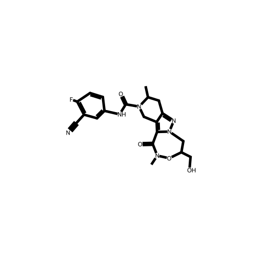 CC1Cc2nn3c(c2CN1C(=O)Nc1ccc(F)c(C#N)c1)C(=O)N(C)OC(CO)C3